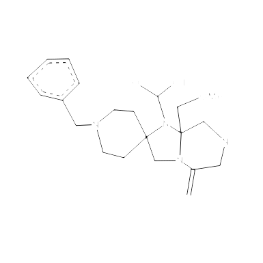 COCC12CNCC(=O)N1CC1(CCN(Cc3ccccc3)CC1)N2C(C)O